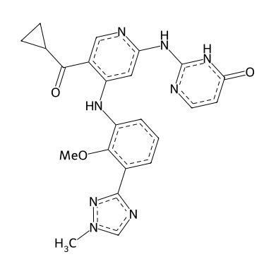 COc1c(Nc2cc(Nc3nccc(=O)[nH]3)ncc2C(=O)C2CC2)cccc1-c1ncn(C)n1